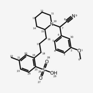 COc1cccc(C(C#N)N2CCCCC2CCCc2cc(C)ccc2S(=O)(=O)O)c1